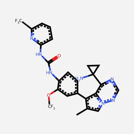 Cc1cn2ncnc(C3(N)CC3)c2c1-c1ccc(NC(=O)Nc2cccc(C(F)(F)F)n2)c(OC(F)(F)F)c1